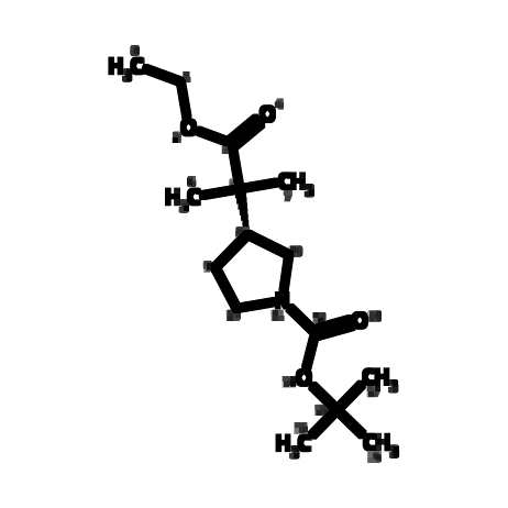 CCOC(=O)C(C)(C)[C@H]1CCN(C(=O)OC(C)(C)C)C1